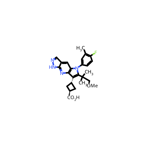 COCC(C)(C)c1c([C@H]2C[C@H](C(=O)O)C2)c2nc3[nH]ncc3cc2n1-c1ccc(F)c(C)c1